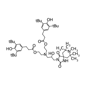 CN1C(C)(C)CC2(CC1(C)C)NC(=O)N(CC(O)CN(CCOC(=O)CCc1cc(C(C)(C)C)c(O)c(C(C)(C)C)c1)CCOC(=O)CCc1cc(C(C)(C)C)c(O)c(C(C)(C)C)c1)C2=O